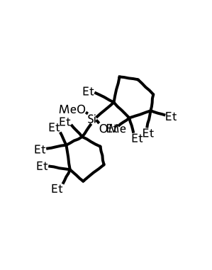 CCC1(CC)CCCC(CC)([Si](OC)(OC)C2(CC)CCCC(CC)(CC)C2(CC)CC)C1(CC)CC